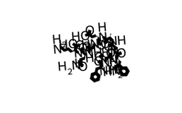 C[C@H](NC(=O)CNC(=O)[C@H](Cc1c[nH]c2ccccc12)NC(=O)[C@H](CO)NC(=O)[C@@H](N)Cc1ccccc1)C(=O)N[C@@H](CCC(=O)O)C(=O)NCC(=O)N[C@@H](CCC(N)=O)C(=O)N[C@@H](CCCCN)C(=O)O